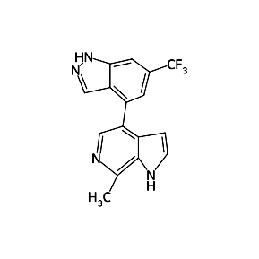 Cc1ncc(-c2cc(C(F)(F)F)cc3[nH]ncc23)c2cc[nH]c12